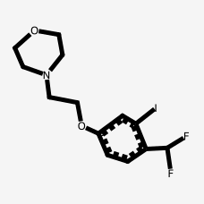 FC(F)c1ccc(OCCN2CCOCC2)cc1I